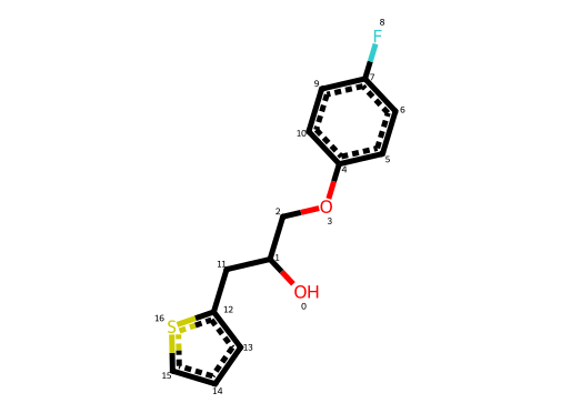 OC(COc1ccc(F)cc1)Cc1cccs1